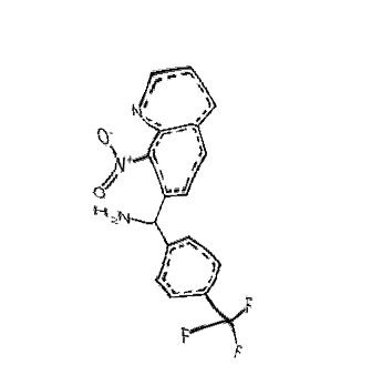 NC(c1ccc(C(F)(F)F)cc1)c1ccc2cccnc2c1[N+](=O)[O-]